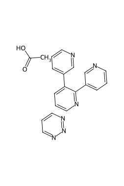 CC(=O)O.c1cncc(-c2cccnc2-c2cccnc2)c1.c1cnnnc1